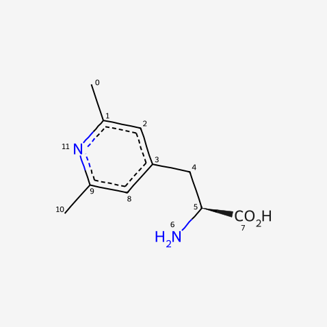 Cc1cc(C[C@H](N)C(=O)O)cc(C)n1